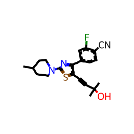 CC1CCN(c2nc(-c3ccc(C#N)c(F)c3)c(C#CC(C)(C)O)s2)CC1